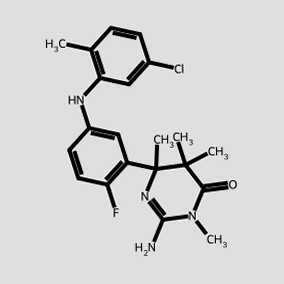 Cc1ccc(Cl)cc1Nc1ccc(F)c(C2(C)N=C(N)N(C)C(=O)C2(C)C)c1